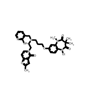 CCCc1ncccc1CN(CCCOc1ccc2c(c1)N(C)C(=O)C(C)(C)C(=O)N2CC)CCn1ccc2oc(C)cc2c1=O